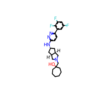 OC1(CN2C[C@H]3C[C@H](Nc4ccc(-c5cc(F)cc(F)c5F)nn4)C[C@H]3C2)CCCCCC1